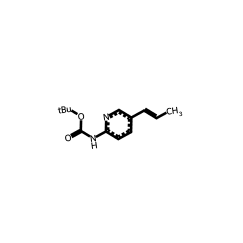 CC=Cc1ccc(NC(=O)OC(C)(C)C)nc1